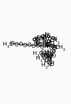 COCCOCCOCCOCCOCCOCCOCCOCCn1cc(COCc2cc(NC(=O)[C@H](CCCNC(N)=O)NC(=O)[C@@H](NC(=O)OC(C)(C)C)C(C)C)ccc2C[N+]2(C)CCN(CCOc3ccc(-c4c(-c5ccc(F)cc5)sc5ncnc(O[C@H](Cc6ccccc6OCc6ccnc(-c7ccccc7OC)n6)C(=O)O)c45)c(C)c3Cl)CC2)nn1